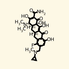 CN(Cc1cc(O)c2c(c1F)C[C@H]1C[C@H]3[C@H](N(C)C)C(O)=C(C(N)=O)C(=O)[C@@]3(O)C(O)=C1C2=O)C1CC1